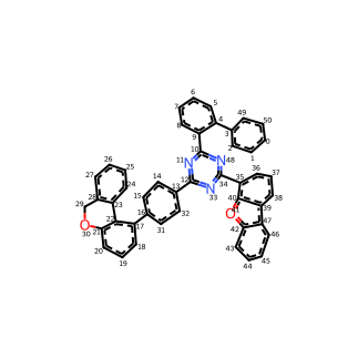 c1ccc(-c2ccccc2-c2nc(-c3ccc(-c4cccc5c4-c4ccccc4CO5)cc3)nc(-c3cccc4c3oc3ccccc34)n2)cc1